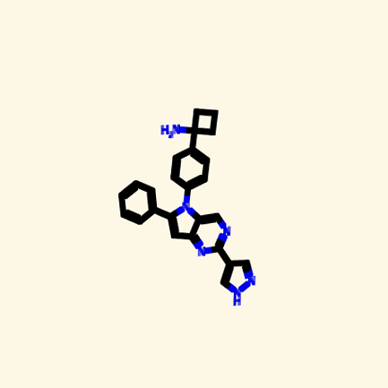 NC1(c2ccc(-n3c(-c4ccccc4)cc4nc(-c5cn[nH]c5)ncc43)cc2)CCC1